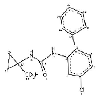 O=C(Nc1cc(Cl)ccc1-c1ccccc1)NC1(C(=O)O)CC1